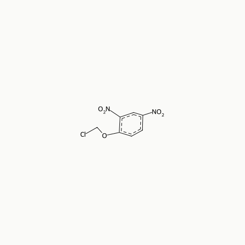 O=[N+]([O-])c1ccc(OCCl)c([N+](=O)[O-])c1